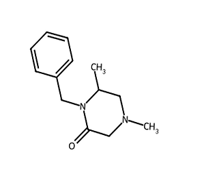 CC1CN(C)CC(=O)N1Cc1ccccc1